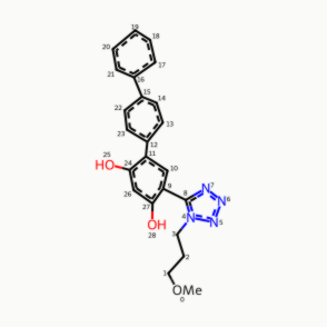 COCCCn1nnnc1-c1cc(-c2ccc(-c3ccccc3)cc2)c(O)cc1O